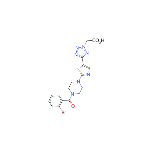 O=C(O)Cn1nnc(-c2cnc(N3CCN(C(=O)c4ccccc4Br)CC3)s2)n1